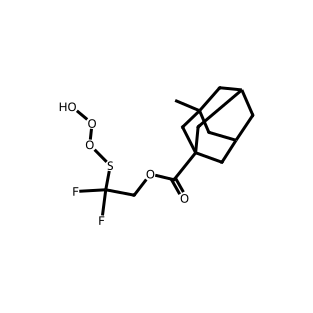 CC12CC3CC(C1)CC(C(=O)OCC(F)(F)SOOO)(C3)C2